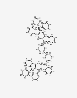 c1ccc([Si](c2ccccc2)(c2ccccc2)c2ccc3c(c2)c2ccccc2n3-c2cccc(-c3cccc(-n4c5ccccc5c5cc([Si](c6ccccc6)(c6ccccc6)c6ccccc6)ccc54)c3)c2)cc1